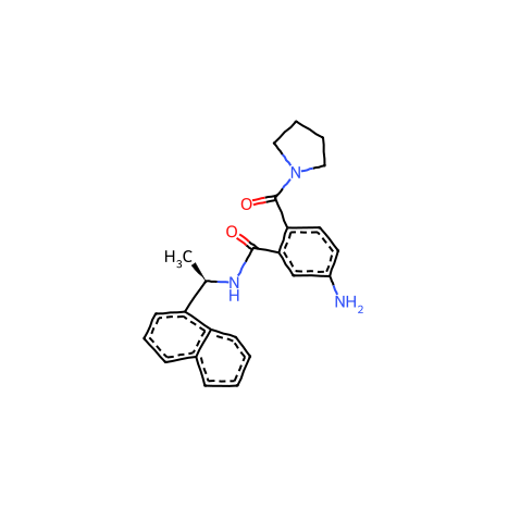 C[C@@H](NC(=O)c1cc(N)ccc1C(=O)N1CCCC1)c1cccc2ccccc12